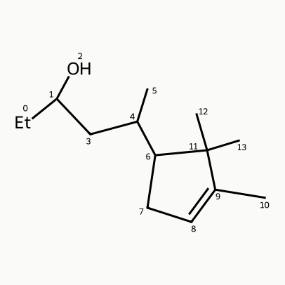 CCC(O)CC(C)C1CC=C(C)C1(C)C